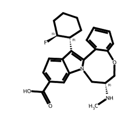 CN[C@H]1COc2ccccc2-c2c([C@H]3CCCC[C@@H]3F)c3ccc(C(=O)O)cc3n2C1